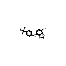 FC(F)(F)c1ccc(Oc2ccc(Br)c3ocnc23)cc1